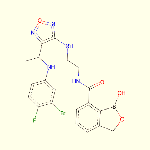 CC(Nc1ccc(F)c(Br)c1)c1nonc1NCCNC(=O)c1cccc2c1B(O)OC2